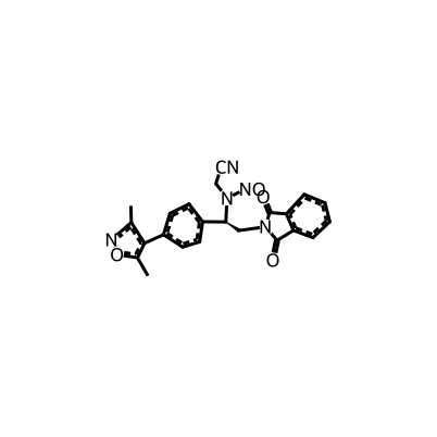 Cc1noc(C)c1-c1ccc([C@H](CN2C(=O)c3ccccc3C2=O)N(CC#N)N=O)cc1